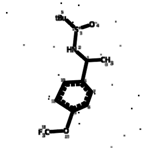 CC(N[S+]([O-])C(C)(C)C)c1ccc(OC(F)(F)F)cc1